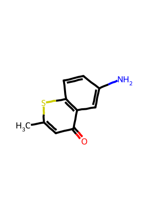 Cc1cc(=O)c2cc(N)ccc2s1